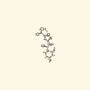 CC(=O)c1cc(NC(=O)c2ccc(F)cc2F)no1